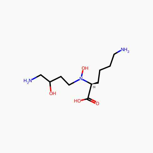 NCCCC[C@@H](C(=O)O)N(O)CCC(O)CN